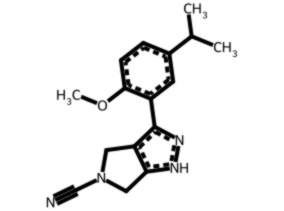 COc1ccc(C(C)C)cc1-c1n[nH]c2c1CN(C#N)C2